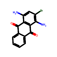 Nc1cc(Br)c(N)c2c1C(=O)c1ccccc1C2=O